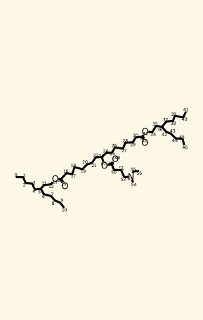 CCCCCC(CCCCC)CCOC(=O)CCCCCCCC(CCCCCCCC(=O)OCCC(CCCCC)CCCCC)OC(=O)CCCN(C)CC